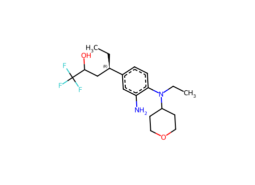 CC[C@H](CC(O)C(F)(F)F)c1ccc(N(CC)C2CCOCC2)c(N)c1